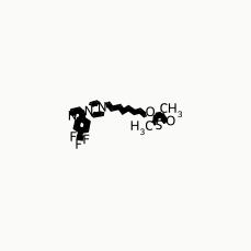 CC1=C(OCCCCCCCCN2CCN(c3ccnc4cc(C(F)(F)F)ccc34)CC2)C(C)SC1=O